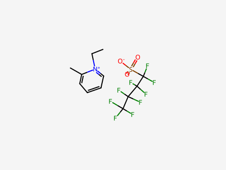 CC[n+]1ccccc1C.O=S(=O)([O-])C(F)(F)C(F)(F)C(F)(F)C(F)(F)F